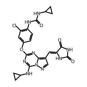 O=C1NC(=O)/C(=C/c2cnn3c(NC4CC4)nc(Oc4ccc(NC(=O)NC5CC5)c(Cl)c4)nc23)N1